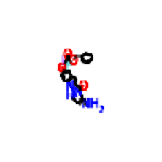 N[C@@H]1CCCN(C(=O)c2cc3cc(OC(F)(I)C(=O)OCc4ccccc4)ccc3[nH]2)C1